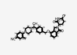 C[C@H](c1ccc(COc2cccc3c2CN(C2CCC(=O)NC2=O)C3=O)cc1)N1CCN(c2ccc(C#N)cc2F)CC1